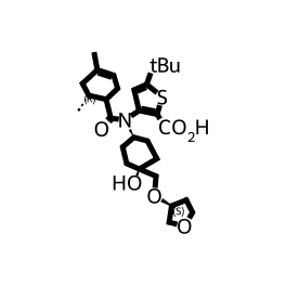 CC1=CCC(C(=O)N(c2cc(C(C)(C)C)sc2C(=O)O)[C@H]2CC[C@](O)(CO[C@H]3CCOC3)CC2)[C@H](C)C1